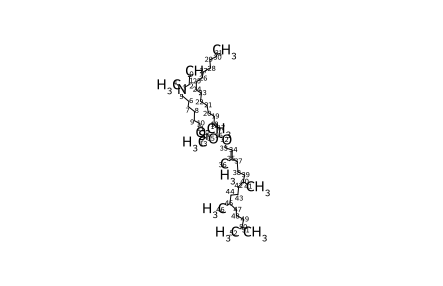 C#CCN(C)CCCCCCO[Si](C)(C)OC(CCCCCCCCCCCCCCC)OC/C=C(\C)CCCC(C)CCCC(C)CCCC(C)C